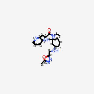 CCN(C(=O)c1cc2ncccc2[nH]1)C1(C)CCC[C@@H](NCc2nnc(C)o2)C1